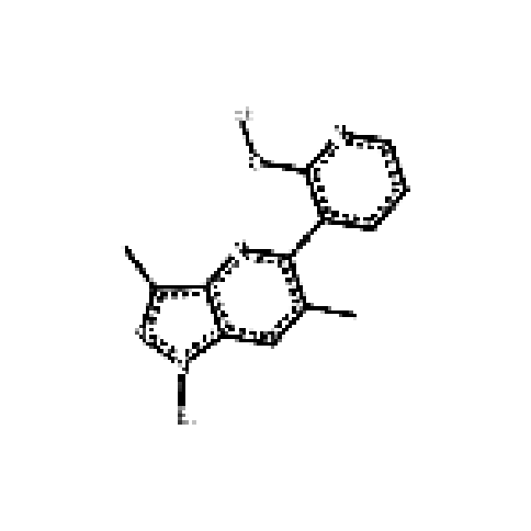 CCOc1ncccc1-c1nc2c(C)nn(CC)c2cc1C